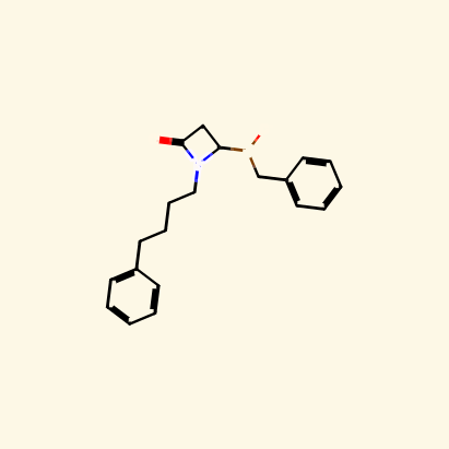 O=C1CC([S+]([O-])Cc2ccccc2)N1CCCCc1ccccc1